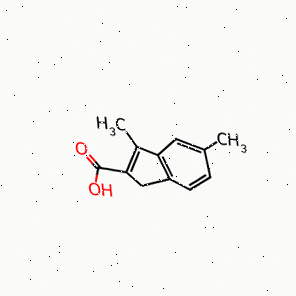 CC1=C(C(=O)O)Cc2ccc(C)cc21